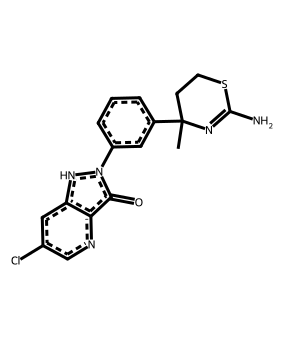 CC1(c2cccc(-n3[nH]c4cc(Cl)cnc4c3=O)c2)CCSC(N)=N1